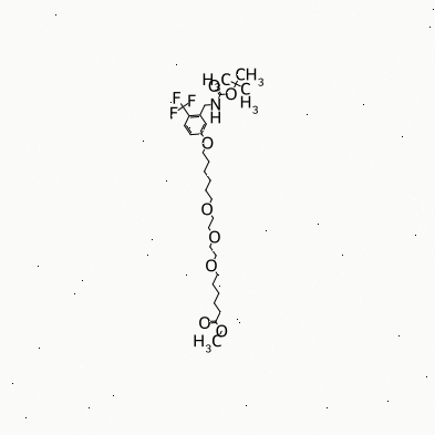 COC(=O)CCCCCOCCOCCOCCCCCCOc1ccc(C(F)(F)F)c(CNC(=O)OC(C)(C)C)c1